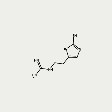 N=C(N)NCCc1cnc(S)[nH]1